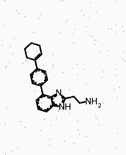 NCCc1nc2c(-c3ccc(C4=CCCCC4)cc3)cccc2[nH]1